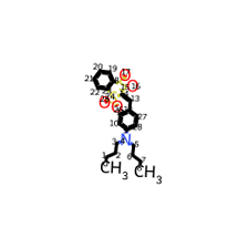 CCCCN(CCCC)c1ccc(C=C2S(=O)(=O)c3ccccc3S2(=O)=O)cc1